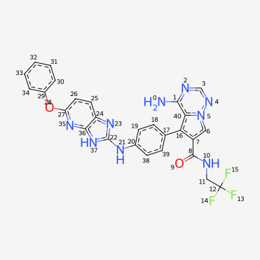 Nc1ncnn2cc(C(=O)NCC(F)(F)F)c(-c3ccc(Nc4nc5ccc(Oc6ccccc6)nc5[nH]4)cc3)c12